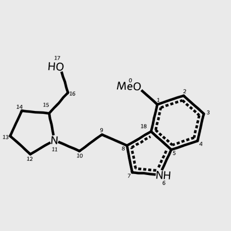 COc1cccc2[nH]cc(CCN3CCCC3CO)c12